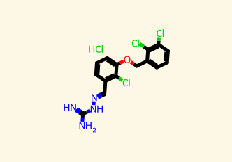 Cl.N=C(N)NN=Cc1cccc(OCc2cccc(Cl)c2Cl)c1Cl